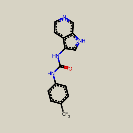 O=C(Nc1ccc(C(F)(F)F)cc1)Nc1c[nH]c2cnccc12